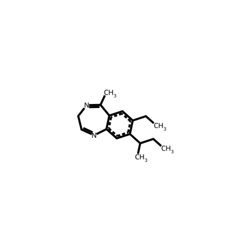 CCc1cc2c(cc1C(C)CC)N=CCN=C2C